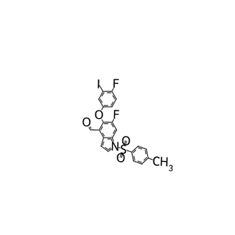 Cc1ccc(S(=O)(=O)n2ccc3c(C=O)c(Oc4ccc(F)c(I)c4)c(F)cc32)cc1